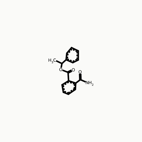 CC(OC(=O)c1ccccc1C(N)=O)c1ccccc1